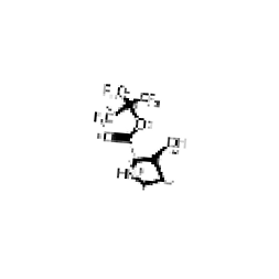 O=C(OC(C(F)(F)F)(C(F)(F)F)C(F)(F)F)[C@H]1NCCC1O